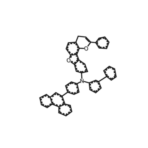 C1=C(c2ccccc2)Oc2c(ccc3oc4cc(N(c5ccc(-c6cc7ccccc7c7ccccc67)cc5)c5cccc(-c6ccccc6)c5)ccc4c23)C1